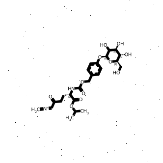 C=[N+]=CC(=O)CC[C@H](NC(=O)OCc1ccc(O[C@@H]2O[C@H](CO)[C@@H](O)[C@H](O)C2O)cc1)C(=O)OC(C)C